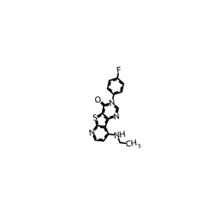 CCNc1ccnc2sc3c(=O)n(-c4ccc(F)cc4)cnc3c12